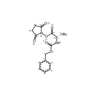 CC(C)(C)[C@H](NC(=O)OCc1ccccc1)C(=O)ON1C(=O)CCC1=O